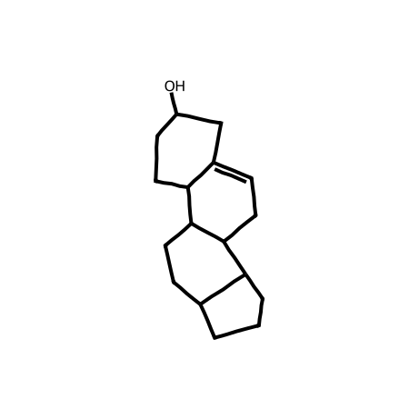 OC1CCC2C(=CCC3C4CCCC4CCC23)C1